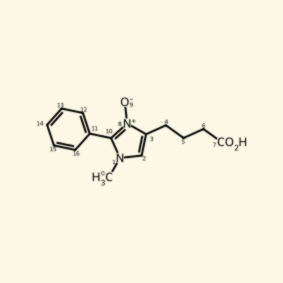 Cn1cc(CCCC(=O)O)[n+]([O-])c1-c1ccccc1